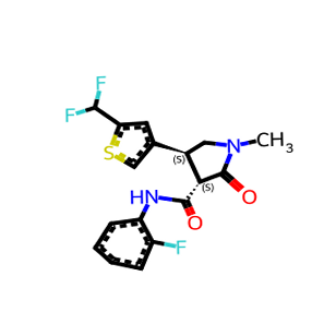 CN1C[C@H](c2csc(C(F)F)c2)[C@@H](C(=O)Nc2ccccc2F)C1=O